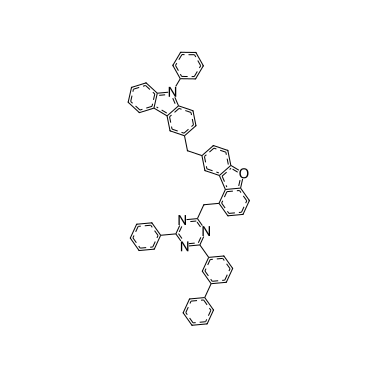 c1ccc(-c2cccc(-c3nc(Cc4cccc5oc6ccc(Cc7ccc8c(c7)c7ccccc7n8-c7ccccc7)cc6c45)nc(-c4ccccc4)n3)c2)cc1